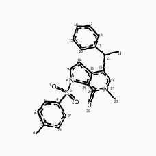 Cc1ccc(S(=O)(=O)n2ccc3c(C(C)c4ccccc4)cn(C)c(=O)c32)cc1